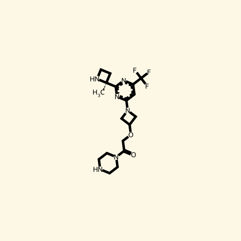 C[C@@]1(c2nc(N3CC(OCC(=O)N4CCNCC4)C3)cc(C(F)(F)F)n2)CCN1